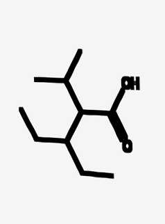 CCC(CC)C(C(=O)O)C(C)C